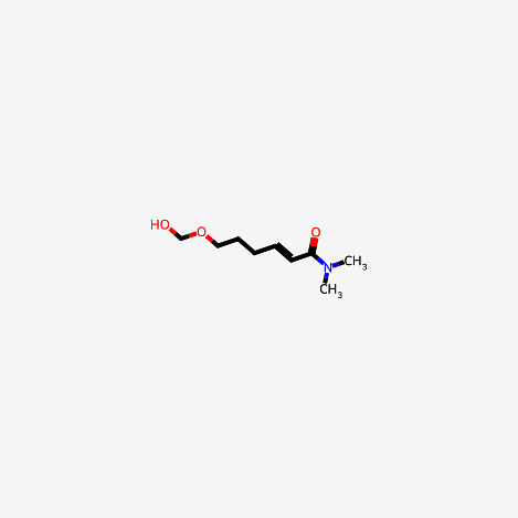 CN(C)C(=O)/C=C/CCCOCO